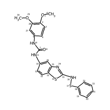 COc1ccc(NC(=O)Nc2ccc3sc(NSc4ccccc4)nc3c2)cc1OC